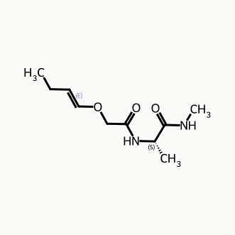 CC/C=C/OCC(=O)N[C@@H](C)C(=O)NC